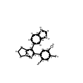 Fc1cc(F)c(-c2nn3c(c2-c2ccc4ncsc4c2)CCC3)cc1Cl